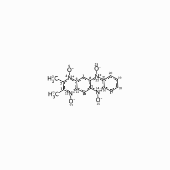 Cc1c(C)[n+]([O-])c2cc3c(cc2[n+]1[O-])[n+]([O-])c1ccccc1[n+]3[O-]